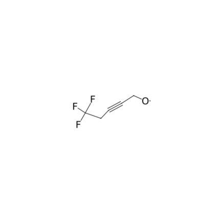 [O]CC#CCC(F)(F)F